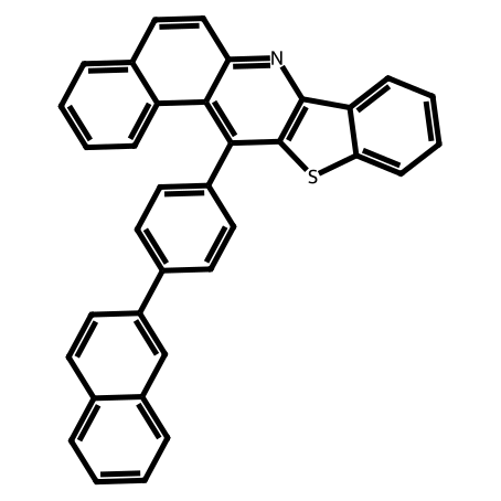 c1ccc2cc(-c3ccc(-c4c5sc6ccccc6c5nc5ccc6ccccc6c45)cc3)ccc2c1